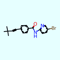 CC(C)(C)C#Cc1ccc(C(=O)Nc2ccc(Br)cn2)cc1